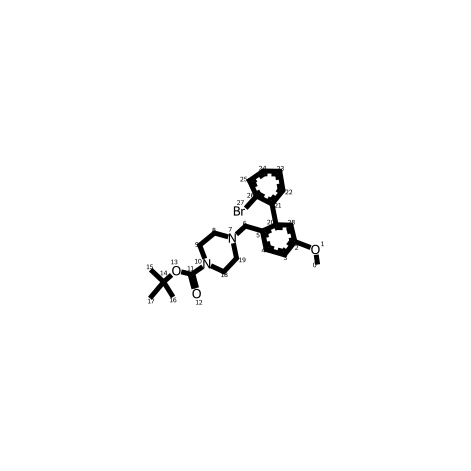 COc1ccc(CN2CCN(C(=O)OC(C)(C)C)CC2)c(-c2ccccc2Br)c1